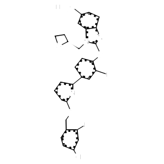 O=C(O)c1ccc2nc(Oc3ccc(-c4cccc(OCc5ccc(Cl)cc5F)n4)cc3F)n(C[C@@H]3CCO3)c2c1